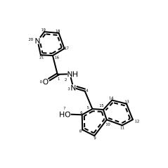 O=C(N/N=C/c1c(O)ccc2ccccc12)c1cccnc1